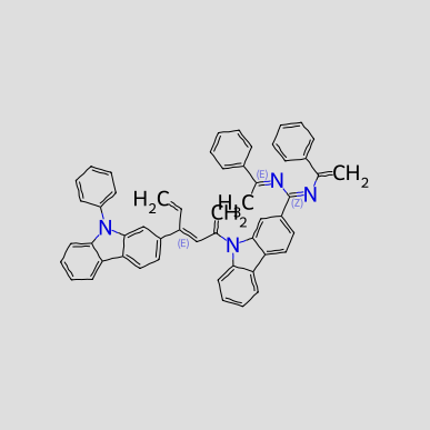 C=C/C(=C\C(=C)n1c2ccccc2c2ccc(C(=N/C(=C)c3ccccc3)/N=C(\C)c3ccccc3)cc21)c1ccc2c3ccccc3n(-c3ccccc3)c2c1